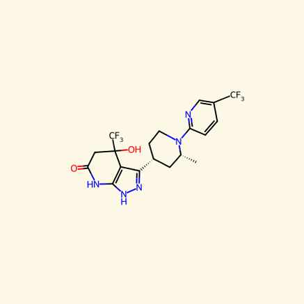 C[C@@H]1C[C@H](c2n[nH]c3c2C(O)(C(F)(F)F)CC(=O)N3)CCN1c1ccc(C(F)(F)F)cn1